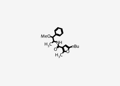 CCCCc1cc(C(=O)NC(C)C(OC)c2ccccc2)c(C)o1